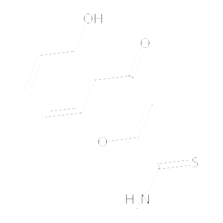 NC(=S)c1cc(=O)c2c(O)cccc2o1